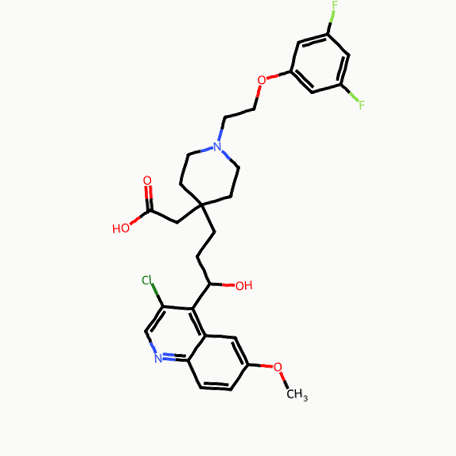 COc1ccc2ncc(Cl)c(C(O)CCC3(CC(=O)O)CCN(CCOc4cc(F)cc(F)c4)CC3)c2c1